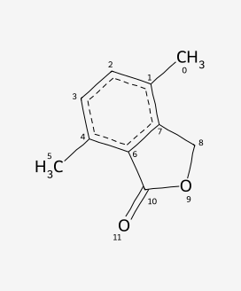 Cc1ccc(C)c2c1COC2=O